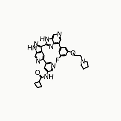 O=C(Nc1cncc(-c2cc3c(-c4nc5c(-c6cc(F)cc(OCCN7CCCC7)c6)cncc5[nH]4)n[nH]c3cn2)c1)C1CCC1